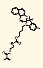 C=C(C)C(=O)OCCNC(=O)OCCCCN1c2ccc(C)cc2C(C)(C)C12C=Nc1c(ccc3ccccc13)O2